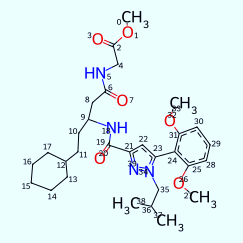 COC(=O)CNC(=O)CC(CCC1CCCCC1)NC(=O)c1cc(-c2c(OC)cccc2OC)n(CC(C)C)n1